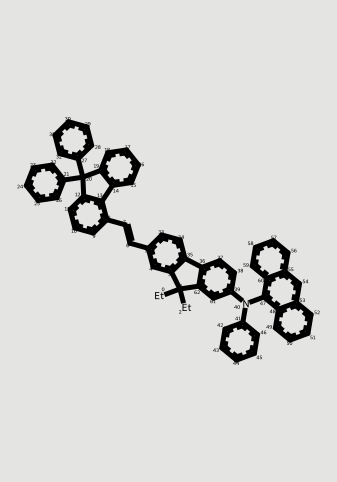 CCC1(CC)c2cc(/C=C/c3cccc4c3-c3ccccc3C4(c3ccccc3)c3ccccc3)ccc2-c2ccc(N(c3ccccc3)c3c4ccccc4cc4ccccc34)cc21